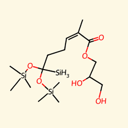 CC(=CCCC([SiH3])(O[Si](C)(C)C)O[Si](C)(C)C)C(=O)OCC(O)CO